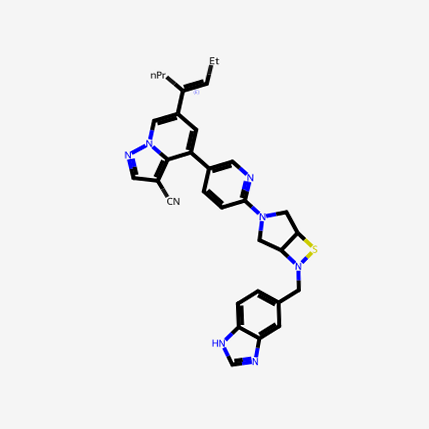 CC/C=C(\CCC)c1cc(-c2ccc(N3CC4SN(Cc5ccc6[nH]cnc6c5)C4C3)nc2)c2c(C#N)cnn2c1